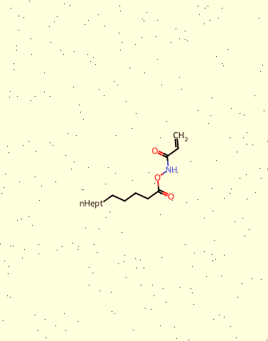 C=CC(=O)NOC(=O)CCCCCCCCCCC